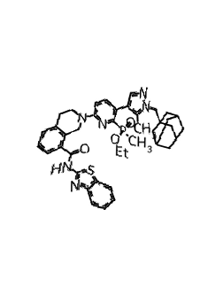 CCOP(C)(=O)c1nc(N2CCc3cccc(C(=O)Nc4nc5ccccc5s4)c3C2)ccc1-c1cnn(CC23CC4CC(CC(C4)C2)C3)c1C